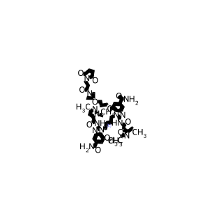 CCc1nc(C)oc1C(=O)Nc1nc2cc(C(N)=O)cc(OCCCOC3CN(C(=O)CCN4C(=O)C=CC4=O)C3)c2n1C/C=C/Cn1c(NC(=O)c2cc(C)nn2CC)nc2cc(C(N)=O)cc(OC)c21